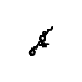 CCCCOc1ccc(OCCC[n+]2ccccc2)cc1.[Br-]